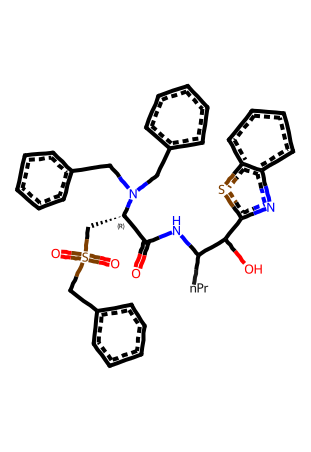 CCCC(NC(=O)[C@H](CS(=O)(=O)Cc1ccccc1)N(Cc1ccccc1)Cc1ccccc1)C(O)c1nc2ccccc2s1